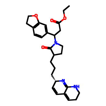 CCOC(=O)CC(c1ccc2c(c1)OCC2)N1CCC(CCC[C@H]2C=CC3=CCCNC3=N2)C1=O